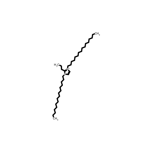 CCCCCCCCCCCCCCCCn1cc[n+](CCCCCCCCCCCCCCCC)c1CCC